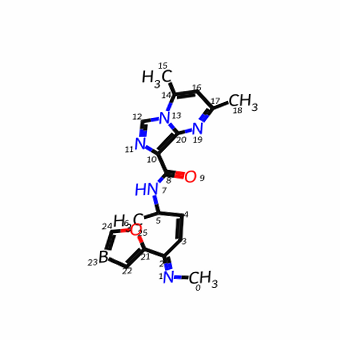 C/N=C(\C=C/C(C)NC(=O)c1ncn2c(C)cc(C)nc12)c1cbco1